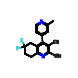 Cc1cc(-c2c(C#N)c(C(C)(C)C)nc3c2CC(F)(F)CC3)ccn1